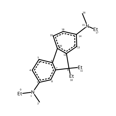 CCN(C)c1ccc2c(c1)C(CC)(CC)c1cc(N(C)CC)ccc1-2